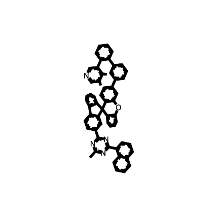 Cc1nc(-c2ccc3c(c2)C2(c4ccccc4Oc4cc(-c5cccc(-c6ccccc6-c6cncc(C)c6C)c5)ccc42)c2ccccc2-3)nc(-c2cccc3ccccc23)n1